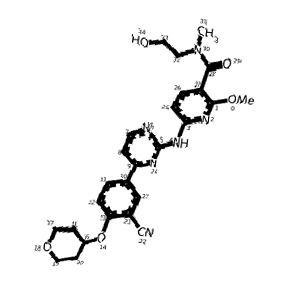 COc1nc(Nc2nccc(-c3ccc(OC4CCOCC4)c(C#N)c3)n2)ccc1C(=O)N(C)CCO